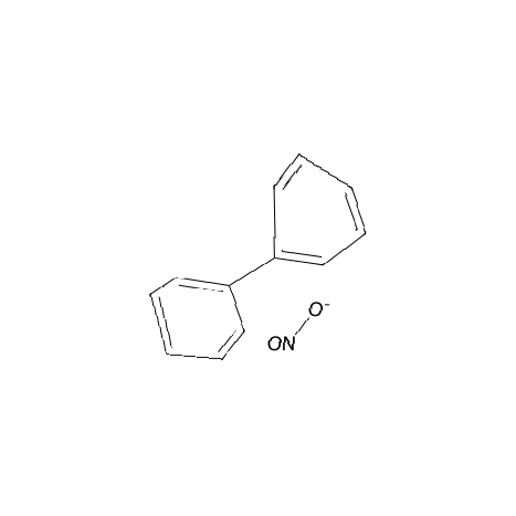 O=[NH+][O-].c1ccc(-c2ccccc2)cc1